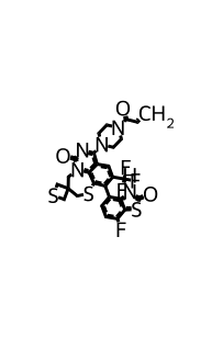 C=CC(=O)N1CCN(c2nc(=O)n3c4c(c(-c5ccc(F)c6sc(=O)[nH]c56)c(C(F)(F)F)cc24)SCC2(CSC2)C3)CC1